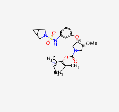 C/C=C(/C)C(OC(=O)N1C[C@@H](OC)[C@H](Oc2cccc(NS(=O)(=O)N3CC4CC4C3)c2)C1)=C(C)C